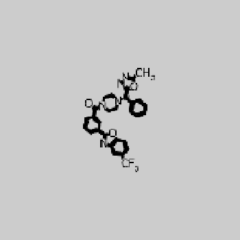 Cc1nnc([C@@H](c2ccccc2)N2CCN(C(=O)c3cccc(-c4nc5cc(C(F)(F)F)ccc5o4)c3)CC2)o1